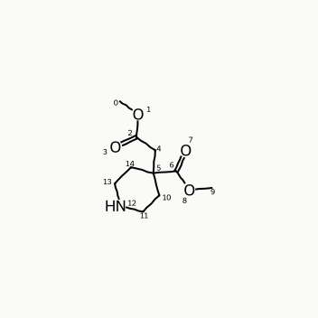 COC(=O)CC1(C(=O)OC)CCNCC1